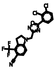 N#Cc1ccc2c(c1C(F)(F)F)CCN2Cc1noc(-c2cccc(Cl)c2Cl)n1